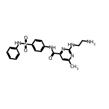 Cc1cc(C(=O)Nc2ccc(S(=O)(=O)Nc3ccccc3)cc2)nc(NCCN)n1